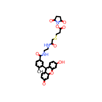 Cc1ccc(C(=O)NCCNC(=O)CSCCC(=O)ON2C(=O)CCC2=O)cc1-c1c2ccc(=O)cc-2oc2cc(O)ccc12